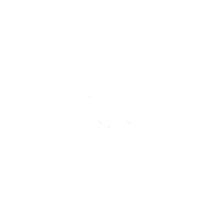 O=C(CNC1(CO)CCN(C(=O)O)CC1)Nc1ccccc1